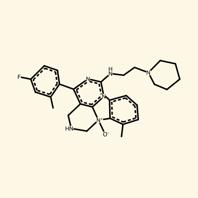 Cc1cc(F)ccc1-c1nc(NCCN2CCCCC2)nc2c1CNC[N+]2([O-])c1c(C)cccc1C